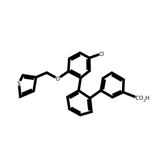 O=C(O)c1cccc(-c2ccccc2-c2cc(Cl)ccc2OCc2ccsc2)c1